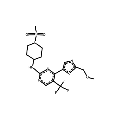 COCc1ncc(-c2nc(NC3CCN(S(C)(=O)=O)CC3)ncc2C(F)(F)F)s1